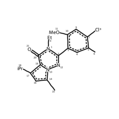 CCn1c(-c2cc(C)c(Cl)cc2OC)nn2c(C)cc(C(C)C)c2c1=O